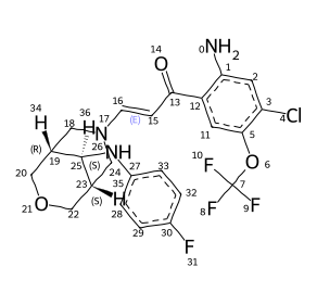 Nc1cc(Cl)c(OC(F)(F)F)cc1C(=O)/C=C/N1C[C@H]2COC[C@@H](C1)[C@@H]2Nc1ccc(F)cc1